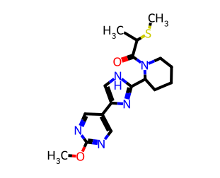 COc1ncc(-c2c[nH]c(C3CCCCN3C(=O)C(C)SC)n2)cn1